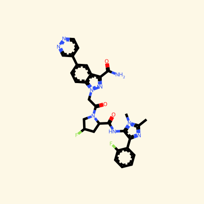 Cc1nc(-c2ccccc2F)c(NC(=O)C2CC(F)CN2C(=O)Cn2nc(C(N)=O)c3cc(-c4ccnnc4)ccc32)n1C